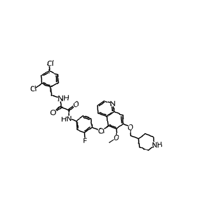 COc1c(OCC2CCNCC2)cc2ncccc2c1Oc1ccc(NC(=O)C(=O)NCc2ccc(Cl)cc2Cl)cc1F